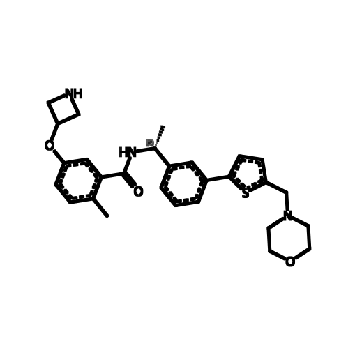 Cc1ccc(OC2CNC2)cc1C(=O)N[C@H](C)c1cccc(-c2ccc(CN3CCOCC3)s2)c1